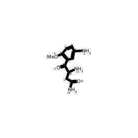 COc1ccc(N)cc1C(=O)C(N)CC(N)=O